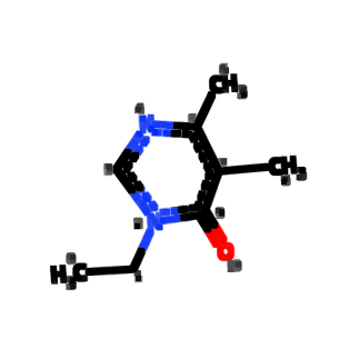 CCn1cnc(C)c(C)c1=O